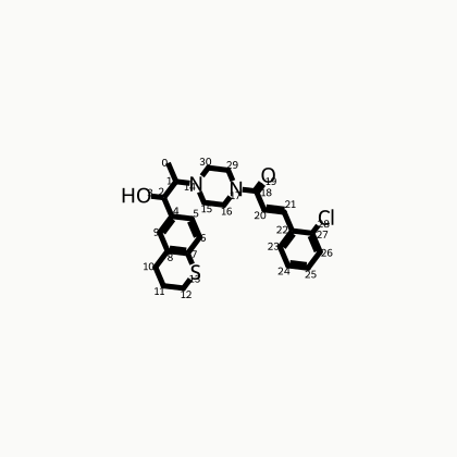 CC(C(O)c1ccc2c(c1)CCCS2)N1CCN(C(=O)C=Cc2ccccc2Cl)CC1